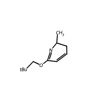 CC1CC=CC(OCC(C)(C)C)=N1